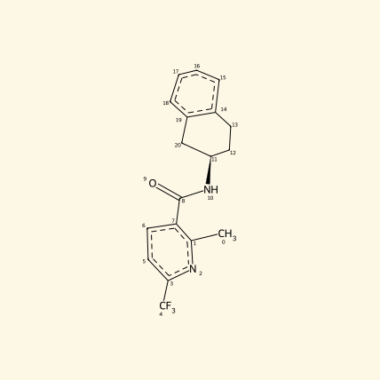 Cc1nc(C(F)(F)F)ccc1C(=O)N[C@@H]1CCc2ccccc2C1